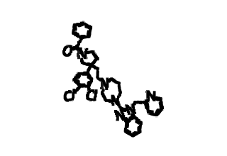 O=C(c1ccccc1)N1CCC(CCN2CCCN(c3nc4ccccc4n3Cc3ccccn3)CC2)(c2ccc(Cl)c(Cl)c2)C1